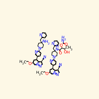 CCOc1cc(-c2ccc(N3CCC(Cc4ccccn4)(NC(=O)C(OC(N)=O)C(C)O)CC3)nc2)c2c(C#N)cnn2c1.CCOc1cc(-c2ccc(N3CCC(N)(Cc4ccccn4)CC3)nc2)c2c(C#N)cnn2c1